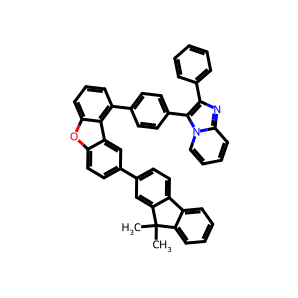 CC1(C)c2ccccc2-c2ccc(-c3ccc4oc5cccc(-c6ccc(-c7c(-c8ccccc8)nc8ccccn78)cc6)c5c4c3)cc21